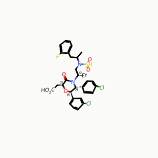 CC[C@@H](CN(C(C)Cc1ccccc1F)[SH](=O)=O)N1C(=O)[C@H](CC(=O)O)O[C@H](c2cccc(Cl)c2)[C@H]1c1ccc(Cl)cc1